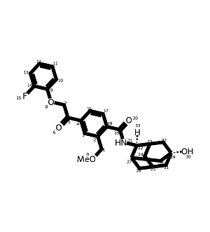 COCc1cc(C(=O)COc2ccccc2F)ccc1C(=O)N[C@H]1C2CC3CC1C[C@](O)(C3)C2